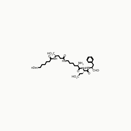 CCCCCCCCCCCCCCCC(=O)N[C@@H](CCC(=O)NCCCC[C@H](N)C(=O)N[C@@H](CCC(=O)O)C(=O)N[C@H]([C]=O)Cc1ccccc1)C(=O)O